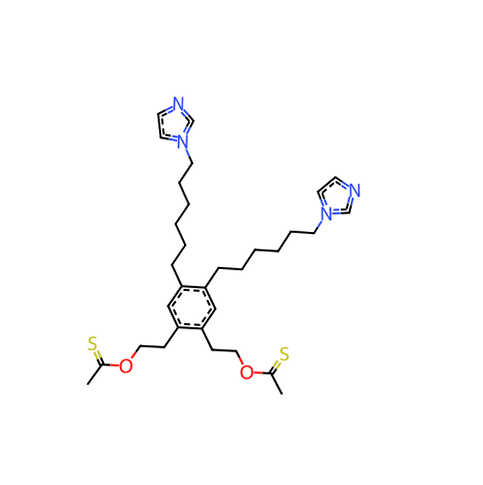 CC(=S)OCCc1cc(CCCCCCn2ccnc2)c(CCCCCCn2ccnc2)cc1CCOC(C)=S